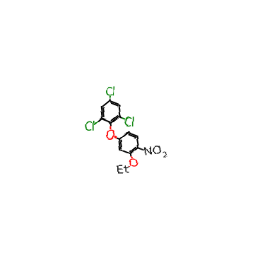 CCOc1cc(Oc2c(Cl)cc(Cl)cc2Cl)ccc1[N+](=O)[O-]